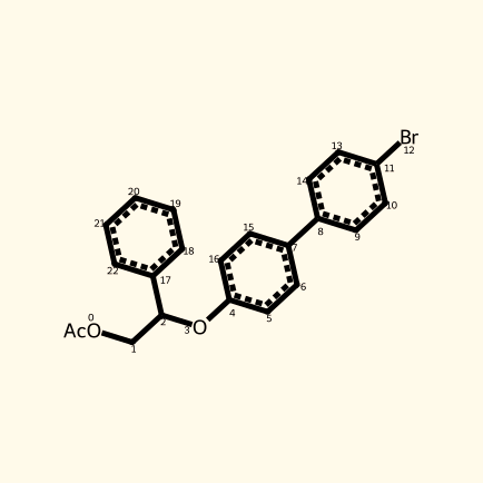 CC(=O)OCC(Oc1ccc(-c2ccc(Br)cc2)cc1)c1ccccc1